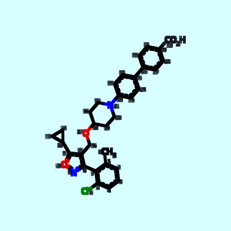 Cc1cccc(Cl)c1-c1noc(C2CC2)c1COC1CCN(c2ccc(-c3ccc(C(=O)O)cc3)cc2)CC1